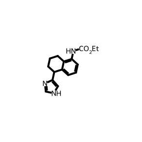 CCOC(=O)Nc1cccc2c1CCCC2c1c[nH]cn1